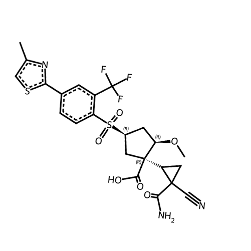 CO[C@@H]1C[C@H](S(=O)(=O)c2ccc(-c3nc(C)cs3)cc2C(F)(F)F)C[C@@]1(C(=O)O)C1CC1(C#N)C(N)=O